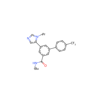 CC(C)n1cncc1-c1cc(C(=O)NC(C)(C)C)cc(-c2ccc(C(F)(F)F)cc2)c1